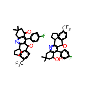 CC1(C)CC(=O)c2c(nc(C3CCCC3)c(C(=O)c3ccc(C(F)(F)F)cc3)c2-c2ccc(F)cc2)C1.CC1(C)Cc2nc(C3CCCC3)c(C(=O)c3ccc(C(F)(F)F)cc3)c(-c3ccc(F)cc3)c2C(O)C1